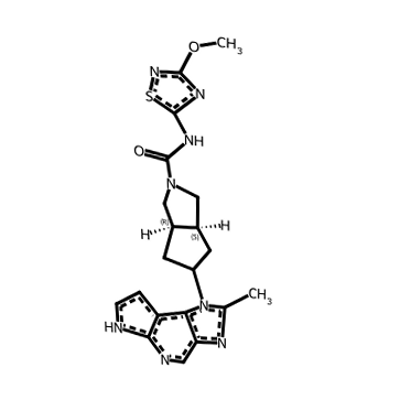 COc1nsc(NC(=O)N2C[C@H]3CC(n4c(C)nc5cnc6[nH]ccc6c54)C[C@H]3C2)n1